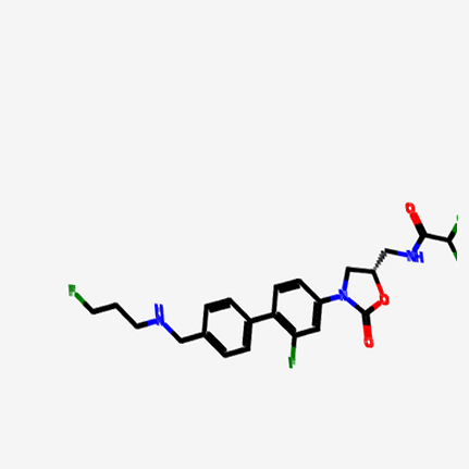 O=C(NC[C@H]1CN(c2ccc(-c3ccc(CNCCCF)cc3)c(F)c2)C(=O)O1)C(Cl)Cl